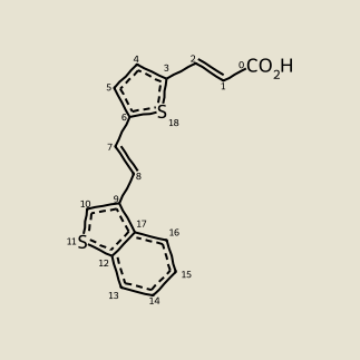 O=C(O)C=Cc1ccc(C=Cc2csc3ccccc23)s1